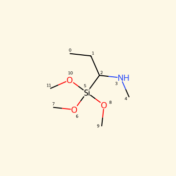 CCC(NC)[Si](OC)(OC)OC